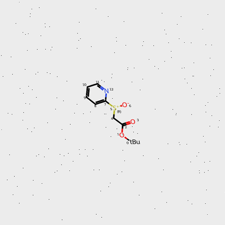 CC(C)(C)OC(=O)C[S@+]([O-])c1ccccn1